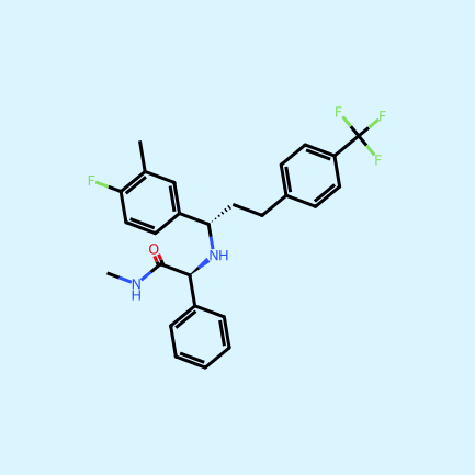 CNC(=O)[C@@H](N[C@@H](CCc1ccc(C(F)(F)F)cc1)c1ccc(F)c(C)c1)c1ccccc1